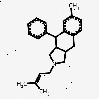 CC(C)=CCN1CC2Cc3ccc(C)cc3C(c3ccccc3)C2C1